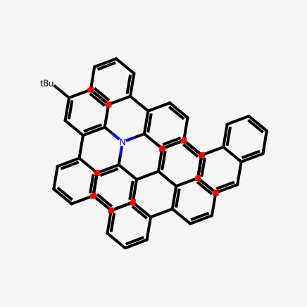 CC(C)(C)c1ccc(N(c2cc(-c3cccc4ccccc34)ccc2-c2ccccc2)c2ccccc2-c2cccc3cccc(-c4ccccc4)c23)c(-c2ccccc2)c1